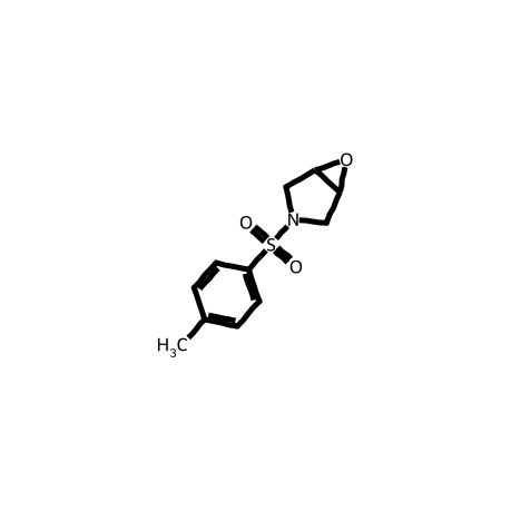 Cc1ccc(S(=O)(=O)N2CC3OC3C2)cc1